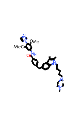 COc1cc(NC(=O)c2ccc(Cc3ccc4c(c3)c(C)c(C)n4CCCCCN3CCN(C)CC3)cc2)cc(OC)c1-n1ccnc1